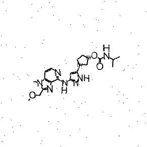 COCc1nc2c(Nc3cc([C@H]4CC[C@@H](OC(=O)NC(C)C)C4)[nH]n3)nccc2n1C